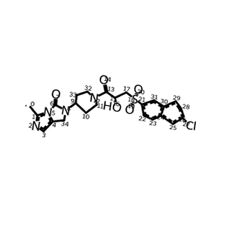 [CH2]c1ncc2n1C(=O)N(C1CCN(C(=O)[C@H](O)CS(=O)(=O)c3ccc4cc(Cl)ccc4c3)CC1)C2